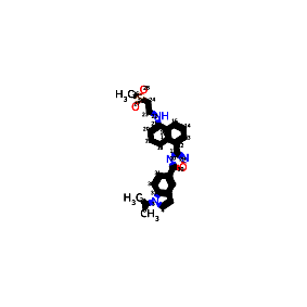 CC(C)n1ccc2cc(-c3nc(-c4cccc5c4CCC=C5NCCS(C)(=O)=O)no3)ccc21